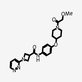 COCC(=O)N1CCC(Oc2ccc(NC(=O)C3CN(c4cccnn4)C3)cc2)CC1